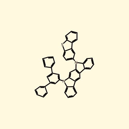 c1ccc(-c2cc(-c3ccccc3)cc(-n3c4ccccc4c4cc5c6ccccc6n(-c6ccc7sc8ccccc8c7c6)c5cc43)c2)cc1